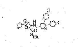 CC(C)(C)OC(=O)N/C(=N\S(=O)(=O)c1ccsc1)NCc1cnc(-c2ccc(Cl)cc2)c(-c2ccc(Cl)cc2)c1